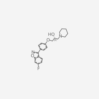 O[C@@H](COc1ccc(-c2noc3cc(F)ccc23)cc1)CN1CCCCC1